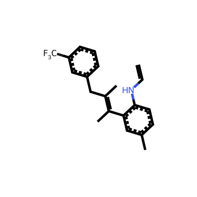 C=CNc1ccc(C)cc1/C(C)=C(\C)Cc1cccc(C(F)(F)F)c1